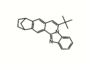 CC(C)(C)c1cc2cc3c(cc2c2nc4ccccc4n12)C1CCC3C1